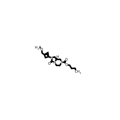 CCCCOC(=O)N1CCN2C(=O)N(C34CC(COC)(C3)C4)C[C@@H]2C1